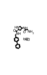 Cl.Cl.NCC(=O)NC1CN[C@H](C(=O)NCc2ccc(-c3ccccc3)cc2)C1